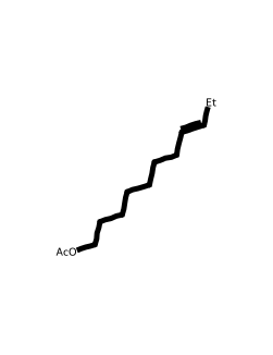 CCC=CCCCCCCCOC(C)=O